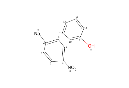 O=[N+]([O-])c1cc[c]([Na])cc1.Oc1ccccc1